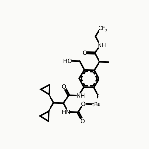 CC(C(=O)NCC(F)(F)F)c1cc(F)c(NC(=O)C(NC(=O)OC(C)(C)C)C(C2CC2)C2CC2)cc1CO